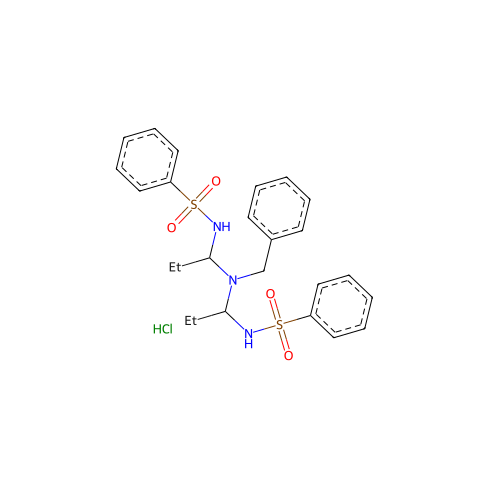 CCC(NS(=O)(=O)c1ccccc1)N(Cc1ccccc1)C(CC)NS(=O)(=O)c1ccccc1.Cl